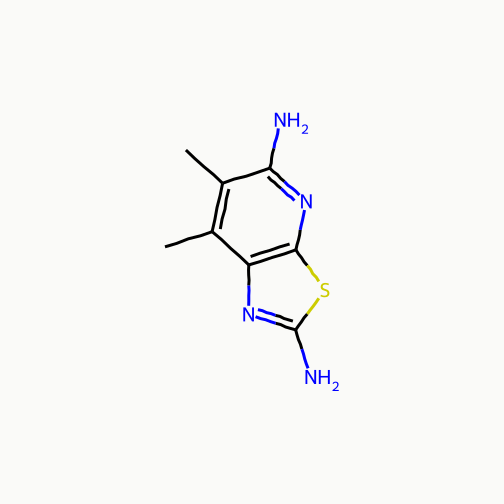 Cc1c(N)nc2sc(N)nc2c1C